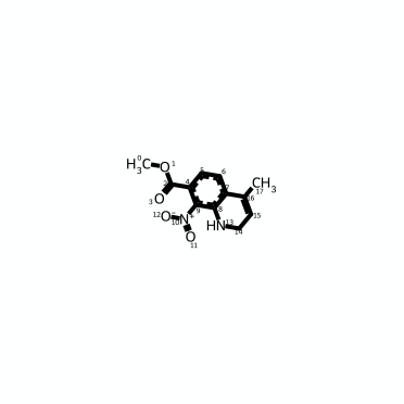 COC(=O)c1ccc2c(c1[N+](=O)[O-])NCC=C2C